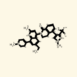 CCc1cc(C2=CCN(C)CC2)c2nc(C)cc(N3CCc4c(cccc4-c4cn(C)nc4C(F)(F)F)C3=O)c2c1